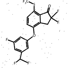 O=C1c2c(SC(F)(F)F)ccc(Oc3cc(F)cc(C(F)F)c3)c2CC1(F)F